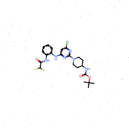 CC(C)(C)OC(=O)NC1CCN(c2nc(Cl)cc(Nc3ccccc3NC(=O)C(F)F)n2)CC1